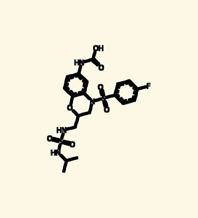 CC(C)NS(=O)(=O)NCC1CN(S(=O)(=O)c2ccc(F)cc2)c2cc(NC(=O)O)ccc2O1